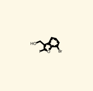 OCc1c(I)oc2c(Br)cccc12